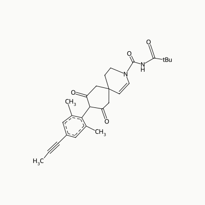 CC#Cc1cc(C)c(C2C(=O)CC3(C=CN(C(=O)NC(=O)C(C)(C)C)CC3)CC2=O)c(C)c1